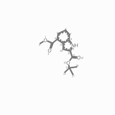 COC(=O)c1cccc2[nH]c(C(=O)OC(C)(C)C)cc12